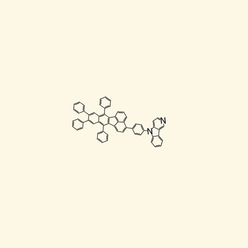 c1ccc(-c2cc3c(-c4ccccc4)c4c(c(-c5ccccc5)c3cc2-c2ccccc2)-c2ccc(-c3ccc(-n5c6ccccc6c6cnccc65)cc3)c3cccc-4c23)cc1